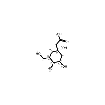 O=C(O)C[C@@]1(O)C[C@@H](O)[C@@H](O)[C@@H](CO)O1